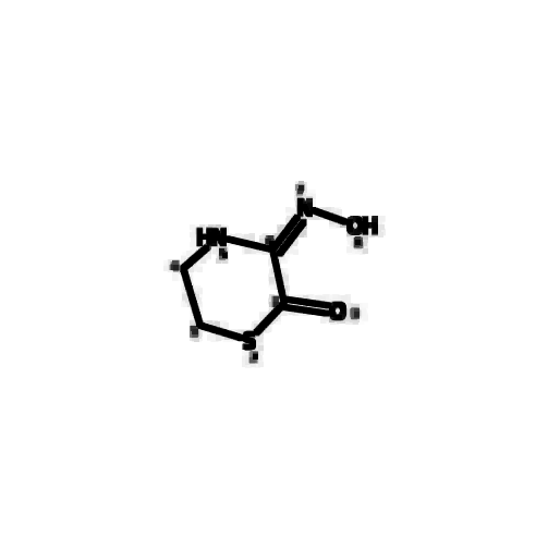 O=C1SCCNC1=NO